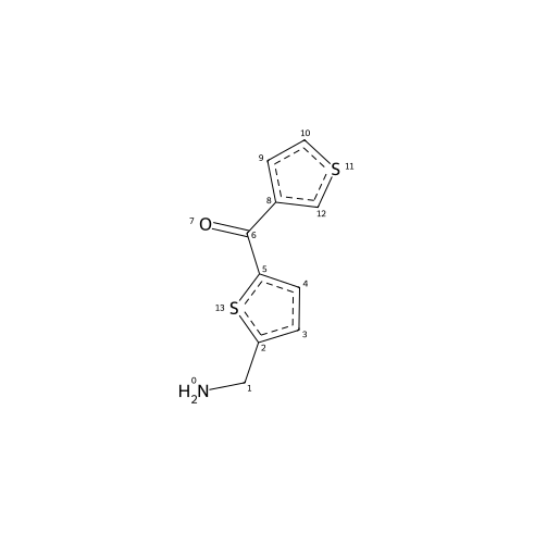 NCc1ccc(C(=O)c2ccsc2)s1